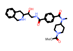 COC(=O)N1CCC(N(C)C(=O)c2ccc(C(=O)NCC(O)C3Cc4ccccc4CN3)cc2)CC1